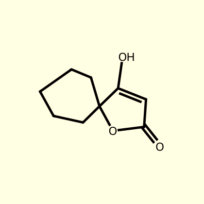 O=C1C=C(O)C2(CCCCC2)O1